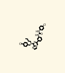 CCCCN(Cc1ccc(Cl)cc1)c1nc(-c2cccc(NC(=O)Nc3ccc(Cl)cc3)c2)cn2ccnc12